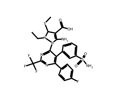 CCN1C(SC)C(C(=O)O)=C(N)N1c1nc(C(F)(F)F)nc(-c2ccc(F)cc2)c1-c1cccc(S(N)(=O)=O)c1